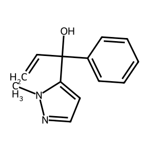 C=CC(O)(c1ccccc1)c1ccnn1C